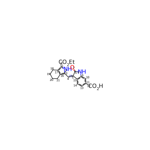 CCOC(=O)c1[nH]c(/C=C2\C(=O)Nc3cc(C(=O)O)ccc32)c2c1CCCC2